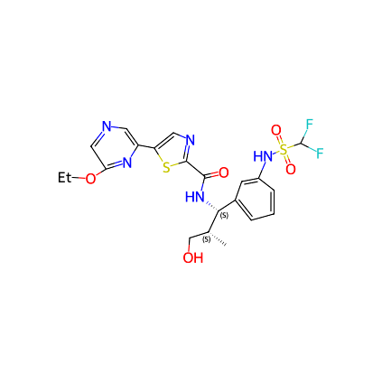 CCOc1cncc(-c2cnc(C(=O)N[C@H](c3cccc(NS(=O)(=O)C(F)F)c3)[C@H](C)CO)s2)n1